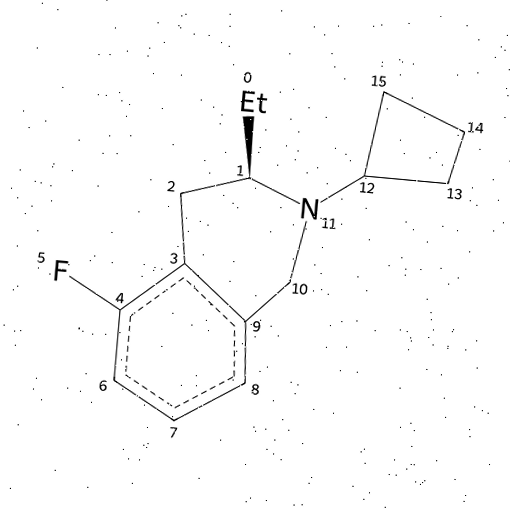 CC[C@@H]1Cc2c(F)cccc2CN1C1CCC1